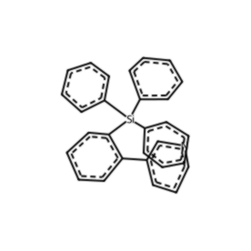 c1ccc([Si](c2ccccc2)(c2ccccc2)c2ccccc2-c2cccnc2)cc1